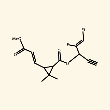 C#CC(OC(=O)C1C(/C=C/C(=O)OC)C1(C)C)/C(F)=C/CC